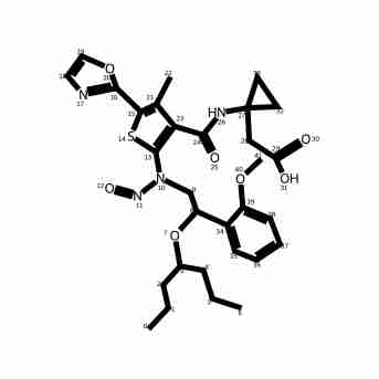 CCCC(CCC)OC(CN(N=O)c1sc(-c2ncco2)c(C)c1C(=O)NC1(CC(=O)O)CC1)c1ccccc1OC